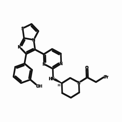 CC(C)CC(=O)N1CCC[C@@H](Nc2nccc(-c3c(-c4cccc(O)c4)nc4sccn34)n2)C1